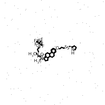 CN(CCCOC(C(F)(F)F)(C(F)(F)F)C(F)(F)F)CC(=O)N(C)[C@H]1CCC2C3CCc4cc(OCCCSSC[C@H]5CCCN5)ccc4C3CC[C@@]21C